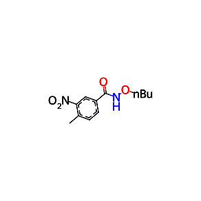 CCCCONC(=O)c1ccc(C)c([N+](=O)[O-])c1